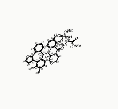 CCOP(=O)(N[C@@H](C(=O)OC)C(C)(C)C)Oc1c2n(ccc1=O)N([C@@H]1c3ccccc3-c3occc3-c3c1ccc(F)c3F)[C@@H]1COCCN1C2=O